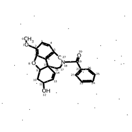 COc1ccc2c3c1OC1CC(O)C=CC31CCN(C(=O)c1ccccc1)C2